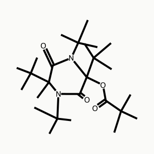 CC(C)(C)C(=O)OC1(C(C)(C)C)C(=O)N(C(C)(C)C)C(C)(C(C)(C)C)C(=O)N1C(C)(C)C